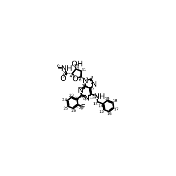 CNC(=O)[C@H]1O[C@@H](n2cnc3c(NCc4ccccc4)nc(-c4ccccc4F)nc32)C[C@@H]1O